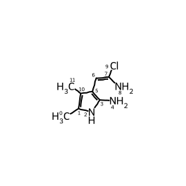 Cc1[nH]c(N)c(/C=C(\N)Cl)c1C